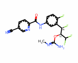 C/N=C(/N)O[C@H](C(F)F)[C@H](F)c1cc(NC(=O)c2ccc(C#N)cn2)ccc1F